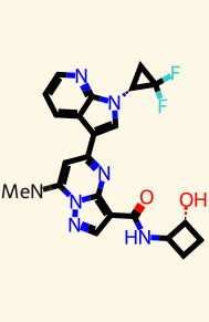 CNc1cc(-c2cn([C@@H]3CC3(F)F)c3ncccc23)nc2c(C(=O)NC3CC[C@H]3O)cnn12